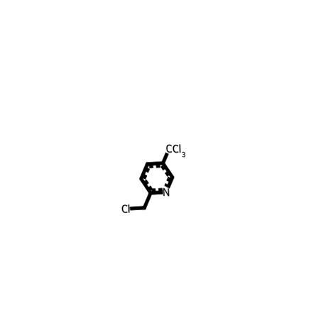 ClCc1ccc(C(Cl)(Cl)Cl)cn1